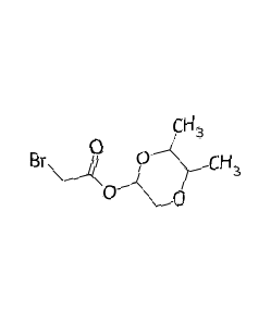 CC1OCC(OC(=O)CBr)OC1C